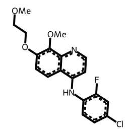 COCCOc1ccc2c(Nc3ccc(Cl)cc3F)ccnc2c1OC